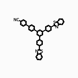 N#Cc1ccc(-c2ccc(-c3cc(-c4ccc(-c5nc6ccccc6s5)cc4)cc(-c4ccc(-c5nc6ccccc6s5)cc4)c3)cc2)cc1